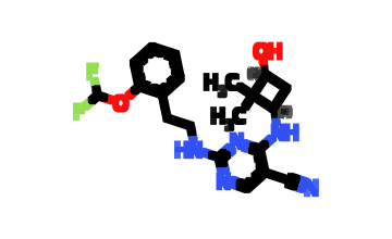 CC1(C)[C@@H](O)C[C@H]1Nc1nc(NCCc2ccccc2OC(F)F)ncc1C#N